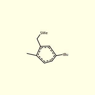 CSCc1cc(C(C)(C)C)ccc1C